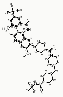 COc1cc2nc(C)nc(N[C@H](C)c3cc(N)cc(C(F)(F)F)c3)c2cc1C1CCC(C(=O)N2CCN(CC3CCN(C(=O)OC(C)(C)C)CC3)CC2)CC1